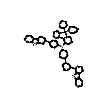 c1ccc(C2(c3ccccc3)c3ccccc3-c3c(N(c4ccc(-c5cccc(-c6cccc7c6oc6ccccc67)c5)cc4)c4ccc(-c5ccc6c(c5)oc5ccccc56)cc4)cccc32)cc1